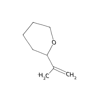 [CH2]C(=C)C1CCCCO1